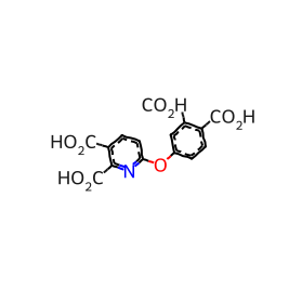 O=C(O)c1ccc(Oc2ccc(C(=O)O)c(C(=O)O)n2)cc1C(=O)O